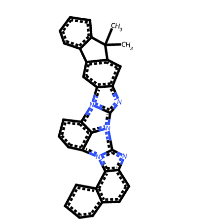 CC1(C)c2ccccc2-c2cc3c(cc21)nc1n3c2cccc3c2n1c1nc2ccc4ccccc4c2n31